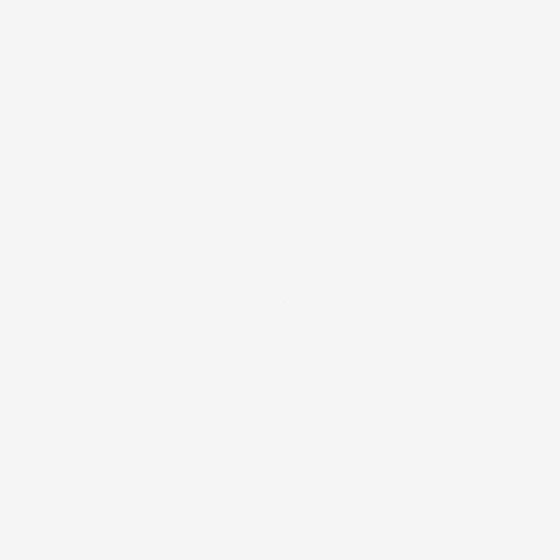 C1=CC2=C(C1)Cc1cccc3c1B2C1=CCC=C1C3